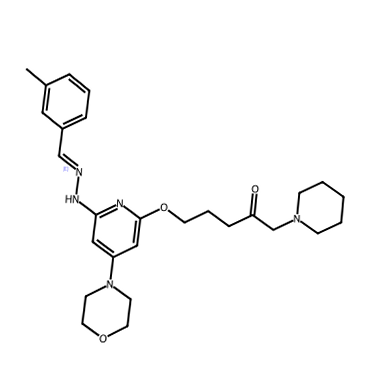 Cc1cccc(/C=N/Nc2cc(N3CCOCC3)cc(OCCCC(=O)CN3CCCCC3)n2)c1